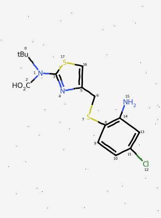 CC(C)(C)N(C(=O)O)c1nc(CSc2ccc(Cl)cc2N)cs1